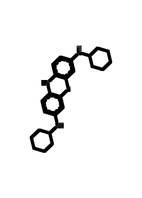 c1cc2c(cc1NC1CCCCC1)Sc1cc(NC3CCCCC3)ccc1N2